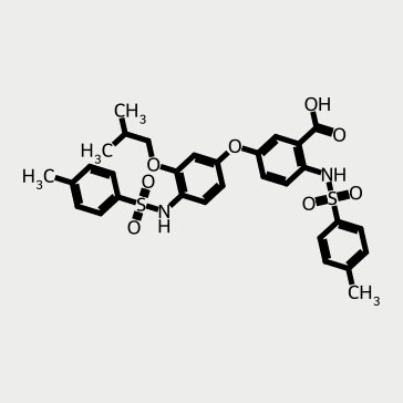 Cc1ccc(S(=O)(=O)Nc2ccc(Oc3ccc(NS(=O)(=O)c4ccc(C)cc4)c(C(=O)O)c3)cc2OCC(C)C)cc1